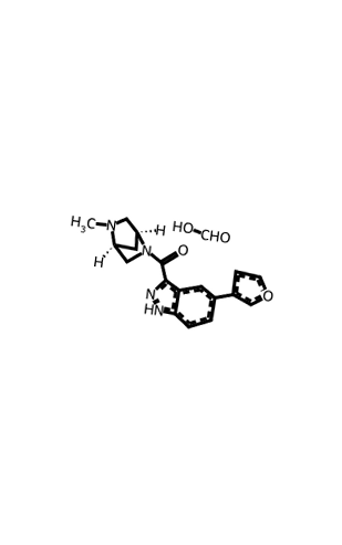 CN1C[C@@H]2C[C@H]1CN2C(=O)c1n[nH]c2ccc(-c3ccoc3)cc12.O=CO